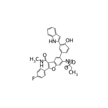 CCS(=O)(=O)Nc1cc2oc(-c3ccc(F)cc3)c(C(=O)NC)c2cc1-c1ccc(O)c(-c2cc3ccccc3[nH]2)c1